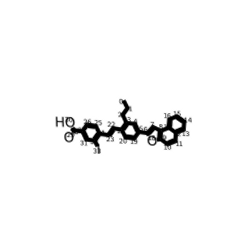 CCCc1cc(-c2cc3c(ccc4ccccc43)o2)ccc1C=Cc1ccc(C(=O)O)cc1I